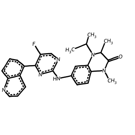 CC(C)N1c2cc(Nc3ncc(F)c(-c4cccc5ncccc45)n3)ccc2N(C)C(=O)C1C